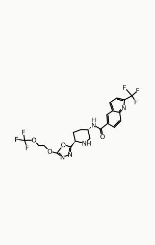 O=C(N[C@H]1CC[C@H](c2nnc(OCCOC(F)(F)F)o2)NC1)c1ccc2nc(C(F)(F)F)ccc2c1